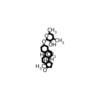 CC1CC(C)[C@@H](O)[C@H](O[C@H]2CC[C@@]3(C)C(=CC[C@@H]4[C@@H]3CC[C@]3(C)C(=O)CC[C@@H]43)C2)O1